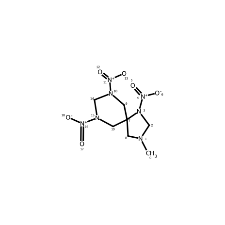 CN1CN([N+](=O)[O-])C2(C1)CN([N+](=O)[O-])CN([N+](=O)[O-])C2